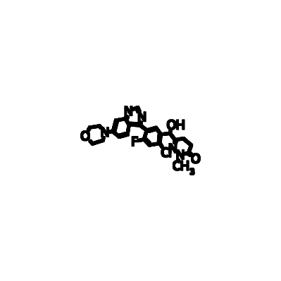 CN1N=C(C(O)c2cc(-c3ncnc4cc(N5CCOCC5)ccc34)c(F)cc2Cl)CCC1=O